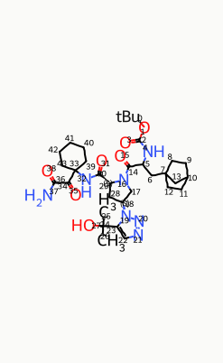 CC(C)(C)OC(=O)NC(CC12CCC(CC1)C2)C(=O)N1C[C@@H](n2nncc2C(C)(C)O)C[C@H]1C(=O)NC1(C(=O)C(N)=O)CCCCC1